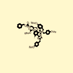 COc1ccc(CN(Cc2ccc(OC)cc2)S(=O)(=O)c2c(SC[C@H](CNC(=O)OCc3ccccc3)NC(=O)OC(C)(C)C)ccc(I)c2-c2nnn(Cc3ccc(OC)cc3)n2)cc1